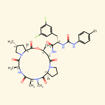 CCc1ccc(NC(=O)N[C@@H](Cc2cc(F)cc(F)c2)C(=O)N[C@@H]2C(=O)N3CCC[C@H]3C(=O)N(C)[C@@H](C)C(=O)N[C@@H](C)C(=O)N3C[C@H](C)C[C@H]3C(=O)O[C@H]2C)cc1